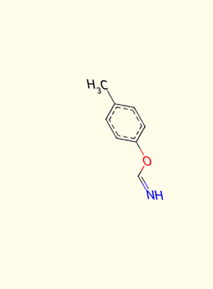 Cc1ccc(OC=N)cc1